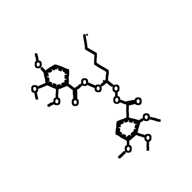 [CH2]CCCC[C](OOC(=O)c1ccc(OC)c(OC)c1OC)OOC(=O)c1ccc(OC)c(OC)c1OC